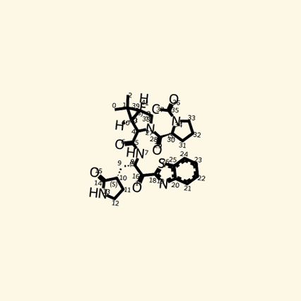 CC1(C)[C@@H]2C(C(=O)N[C@@H](C[C@@H]3CCNC3=O)C(=O)c3nc4ccccc4s3)N(C(=O)[C@@H]3CCCN3C(=O)C(F)(F)F)C[C@@H]21